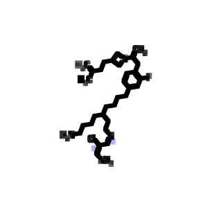 C=C(C)CCC1CN(C(=C)Cc2ccc(CCCCC(CCCCN)CC/N=C\C(Cl)=C/N)cc2F)C1